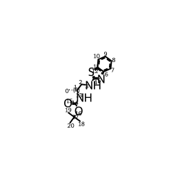 C[C@H](CNc1nc2ccccc2s1)NC(=O)OC(C)(C)C